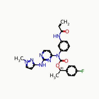 C=CC(=O)Nc1cccc(N(C(=O)O[C@H](C)c2ccc(F)cc2)c2ccnc(Nc3ccn(C)n3)n2)c1